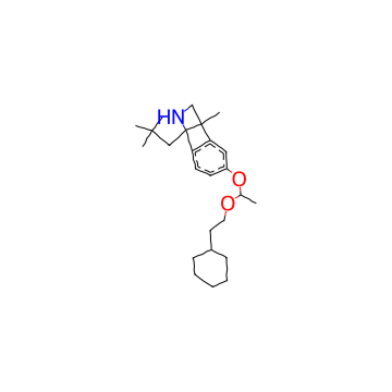 CC(OCCC1CCCCC1)Oc1ccc2c(c1)C1(C)CNC21CC(C)(C)C